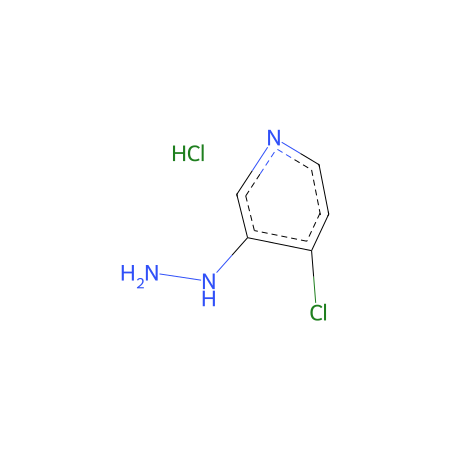 Cl.NNc1cnccc1Cl